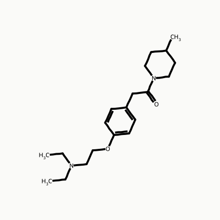 CCN(CC)CCOc1ccc(CC(=O)N2CCC(C)CC2)cc1